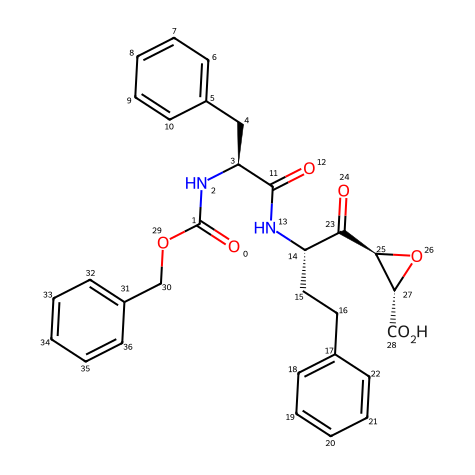 O=C(N[C@@H](Cc1ccccc1)C(=O)N[C@@H](CCc1ccccc1)C(=O)[C@H]1O[C@@H]1C(=O)O)OCc1ccccc1